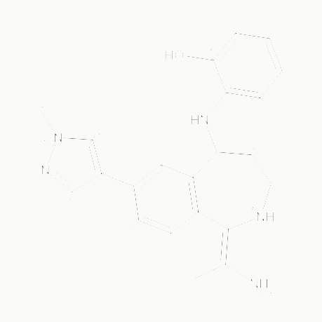 C/C(N)=C1/NCCC(Nc2ccccc2O)c2cc(-c3cnn(C)c3)ccc21